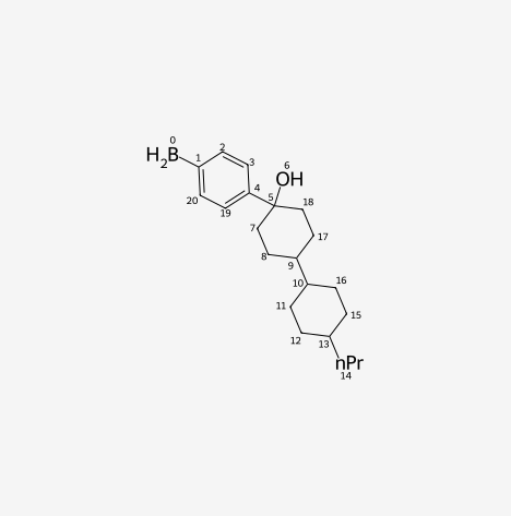 Bc1ccc(C2(O)CCC(C3CCC(CCC)CC3)CC2)cc1